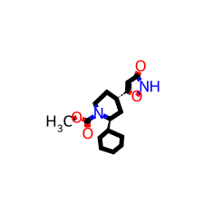 COC(=O)N1CC[C@H](c2cc(=O)[nH]o2)C[C@H]1C1CCCCC1